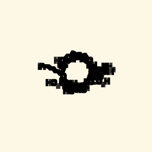 CC(C)CCCCCCC1CC(=O)NC(C(C)O)C(=O)N2CCCC2C(=O)N2CCCC2C(=O)NC(CCCNC(=N)N)C(=O)NC(C(O)C(=O)O)C(=O)NC(CO)C(=O)N2CCC(O)C2C(=O)NC(C(O)C(=O)O)C(=O)O1